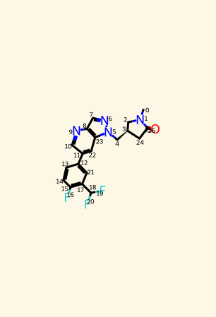 CN1C[C@H](Cn2ncc3ncc(-c4ccc(F)c(C(F)F)c4)cc32)CC1=O